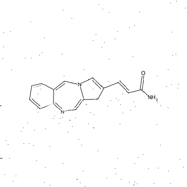 NC(=O)/C=C/C1=CN2C=c3ccccc3=NC=C2C1